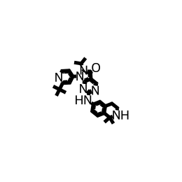 CC(C)n1c(=O)c2cnc(Nc3ccc4c(c3)CCNC4(C)C)nc2n1-c1ccnc(C(C)(C)C)c1